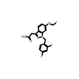 O=C(O)Cc1nn(Cc2ccc(F)cc2F)c2cc(OCF)ccc12